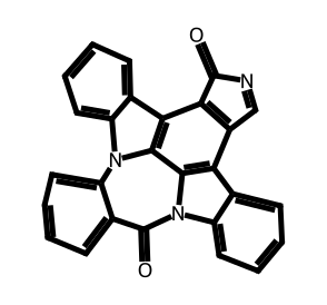 O=c1ncc2c1c1c3ccccc3n3c4ccccc4c(=O)n4c5ccccc5c2c4c13